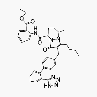 CCCCc1c(Cc2ccc(-c3ccccc3-c3nnn[nH]3)cc2)c(=O)n2n1C(C)CCC2C(=O)Nc1ccccc1C(=O)OCC